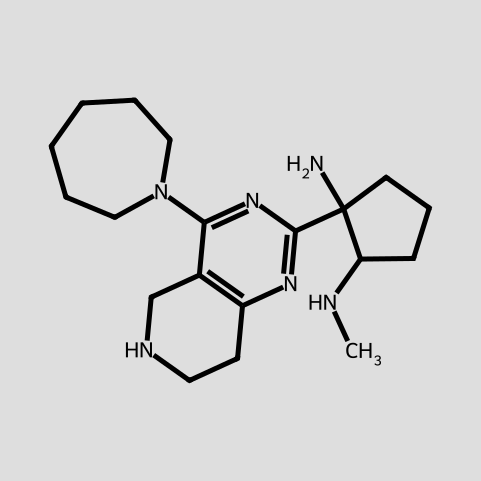 CNC1CCCC1(N)c1nc2c(c(N3CCCCCC3)n1)CNCC2